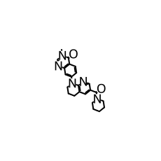 Cn1cnc2cc(N3CCCc4cc(C(=O)N5CCCCC5)cnc43)ccc2c1=O